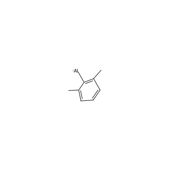 Cc1cccc(C)[c]1[Al]